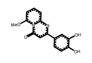 COc1cccc2nc(-c3ccc(O)c(O)c3)cc(=O)n12